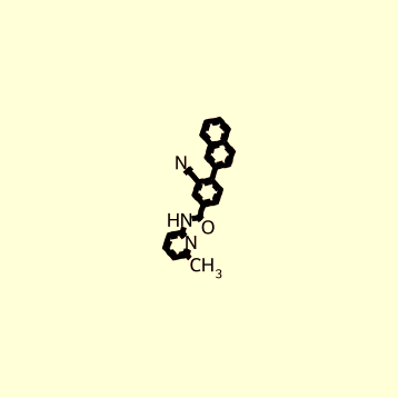 Cc1cccc(NC(=O)c2ccc(-c3ccc4ccccc4c3)c(C#N)c2)n1